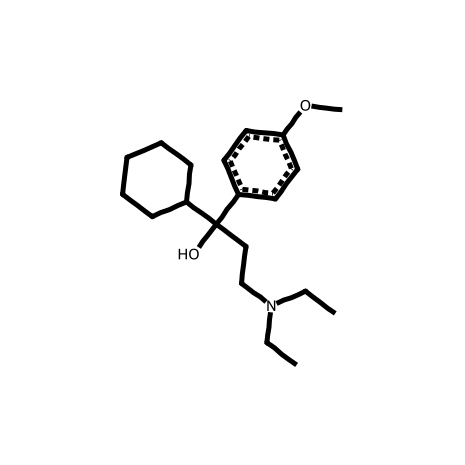 CCN(CC)CCC(O)(c1ccc(OC)cc1)C1CCCCC1